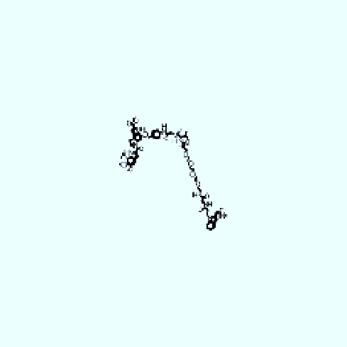 CNN(C)Cc1cc2ccccc2n1CCC(=O)NCC(=O)NCCOCCOCCOCCOCCC(=O)NC(C(=O)NCC(=O)Nc1ccc(COc2cc3c(c4cc(C(=O)OC)[nH]c24)CCN3C(=O)c2cc3cc(OC)c(OC)c(OC)c3[nH]2)cc1)C(C)C